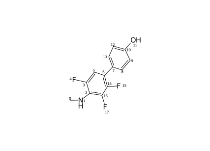 CNc1c(F)cc(-c2ccc(O)cc2)c(F)c1F